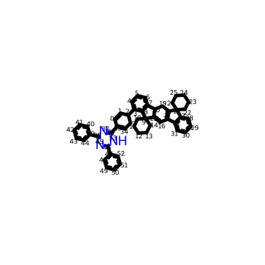 C1=CC(c2cccc3c2C2(CCCCC2)C2=CC4=C(CC23)C2(CCCCC2)c2ccccc24)CC=C1C1=NC(c2ccccc2)=NC(c2ccccc2)N1